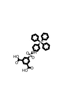 O=C(O)c1cc(C(=O)O)cc(S(=O)(=O)O)c1.c1ccc([N+](c2ccccc2)(c2ccccc2)c2ccccc2)cc1